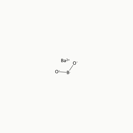 [Ba+2].[O-][B][O-]